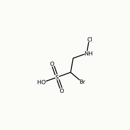 O=S(=O)(O)C(Br)CNCl